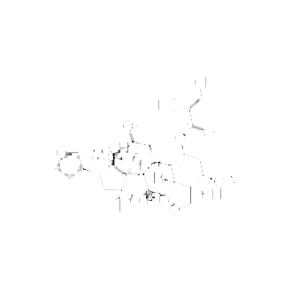 C/C=C(\C)C(=O)O[C@H]1C[C@@H](OC(C)=O)[C@@]2(C)CO[C@H]3[C@H]4O[C@@H]5C[C@@H](c6ccoc6)C(C)=C5[C@@]4(C)[C@@H](CC(=O)OC)[C@]1(C)[C@@H]32